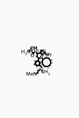 CNCCN(C)Cc1cccc(C2CC(NC(=O)N(C)C)c3cnn(C(C)C)c3N2C2CCCCCCCCC2)c1